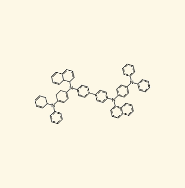 C1=CCC(N(C2=CC=C(N(c3ccc(-c4ccc(N(c5ccc(N(c6ccccc6)c6ccccc6)cc5)c5cccc6ccccc56)cc4)cc3)C3C=CC=C4C=CC=CC43)CC2)c2ccccc2)C=C1